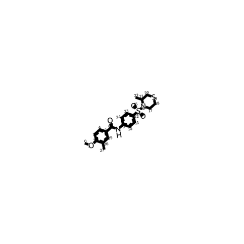 COc1ccc(C(=O)Nc2ccc(S(=O)(=O)N3CCSCC3C)cc2)cc1C